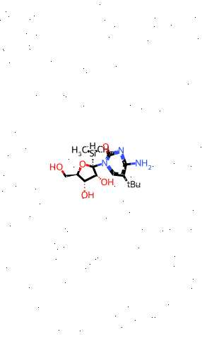 C[SiH](C)[C@@]1(n2cc(C(C)(C)C)c(N)nc2=O)O[C@H](CO)[C@@H](O)[C@H]1O